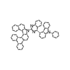 c1ccc(-n2c3ccccc3c3c(-c4nc(-n5c6ccc7ccccc7c6c6c7c8ccccc8c8ccccc8c7ccc65)nc5ccccc45)cccc32)cc1